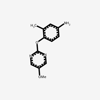 COc1cnc(Oc2ccc(N)cc2C)nc1